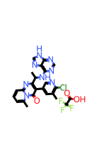 Cc1cc(-c2c(C(C)Nc3ncnc4[nH]cnc34)nc3cccc(C)n3c2=O)cnc1Cl.O=C(O)C(F)(F)F